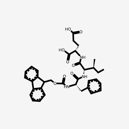 CC[C@H](C)[C@H](NC(=O)[C@H](Cc1ccccc1)NC(=O)OCC1c2ccccc2-c2ccccc21)C(=O)N[C@@H](CCC(=O)O)C(=O)O